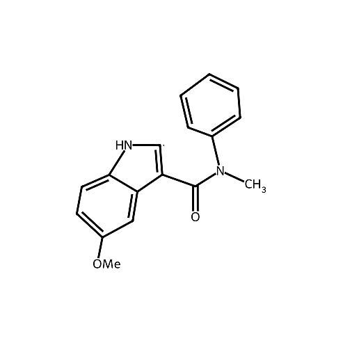 COc1ccc2[nH][c]c(C(=O)N(C)c3ccccc3)c2c1